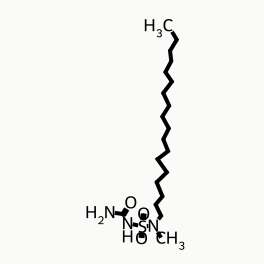 CCCCCCCCCCCCCCCCCCN(C)S(=O)(=O)NC(N)=O